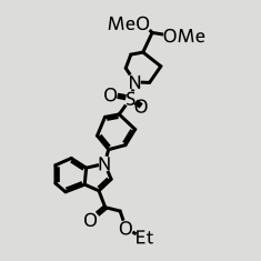 CCOCC(=O)c1cn(-c2ccc(S(=O)(=O)N3CCC(C(OC)OC)CC3)cc2)c2ccccc12